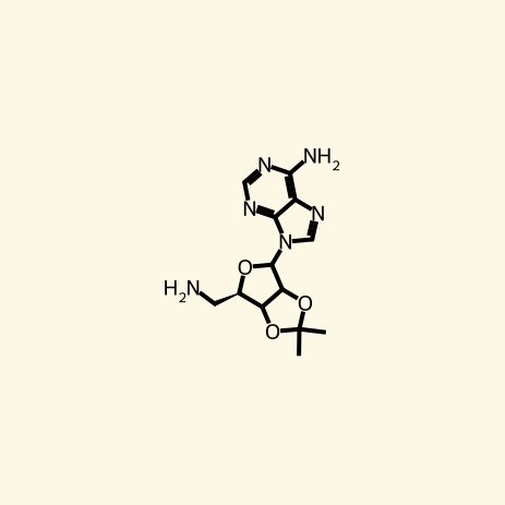 CC1(C)OC2C(O1)[C@@H](CN)OC2n1cnc2c(N)ncnc21